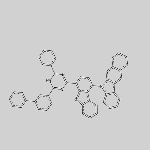 c1ccc(-c2cccc(C3=NC(c4ccc(-n5c6ccccc6c6cc7ccccc7cc65)c5c4oc4ccccc45)=NC(c4ccccc4)N3)c2)cc1